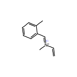 C=C/[N+](C)=C/c1ccccc1C